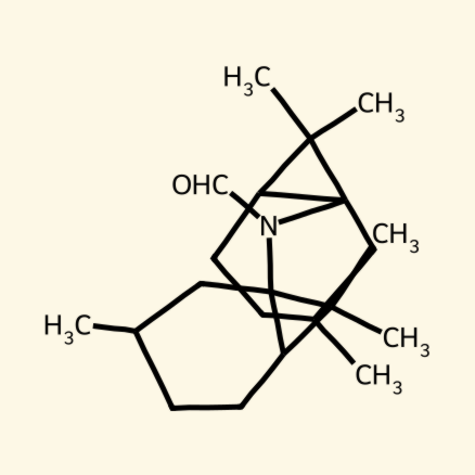 CC1CCC2C(C)(C)C2(N(C=O)C23CC(C)CCC2C3(C)C)C1